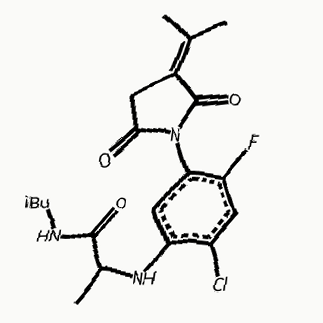 CCC(C)NC(=O)C(C)Nc1cc(N2C(=O)CC(=C(C)C)C2=O)c(F)cc1Cl